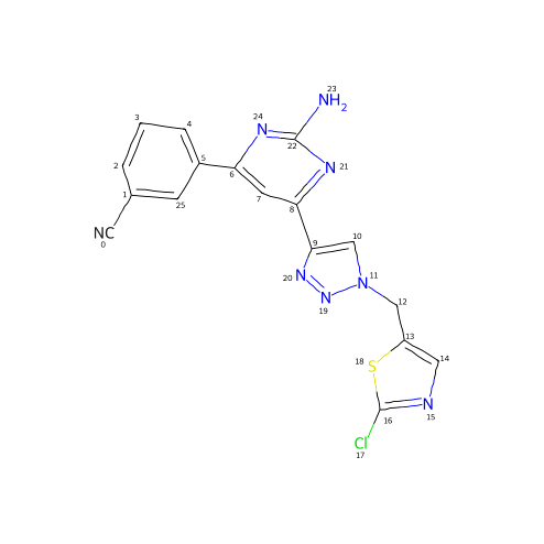 N#Cc1cccc(-c2cc(-c3cn(Cc4cnc(Cl)s4)nn3)nc(N)n2)c1